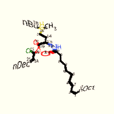 CCCCCCCC/C=C\CCCCCCCC(=O)N[C@H](CC[SH](C)CCCC)C(=O)OC(Cl)CCCCCCCCCCC